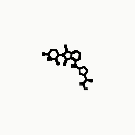 CCNC(=O)C1CCC(Nc2cccc3c2C(=O)N(C2CCC(=O)NC2=O)C3=O)C1